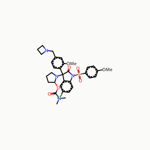 COc1ccc(S(=O)(=O)N2C(=O)C(c3ccc(CN4CCC4)cc3OC)(N3CCC[C@@H]3OC(=O)N(C)C)c3cc(Cl)ccc32)cc1